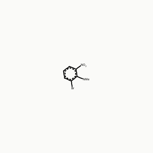 CNc1c(Br)cccc1[N+](=O)[O-]